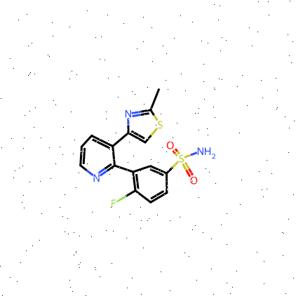 Cc1nc(-c2cccnc2-c2cc(S(N)(=O)=O)ccc2F)cs1